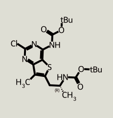 Cc1c(C[C@@H](C)NC(=O)OC(C)(C)C)sc2c(NC(=O)OC(C)(C)C)nc(Cl)nc12